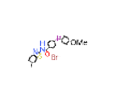 COc1ccc([I+]c2ccc(C(=O)Nc3nc4ccc(C)cc4s3)cc2)cc1.[Br-]